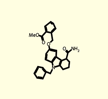 COC(=O)c1ccccc1COc1ccc2c(c1)c1c(n2Cc2ccccc2)CCCC1C(N)=O